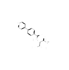 C[C@@H](O)[C@H](NC(=O)c1ccc(-c2ccncc2)cc1)C(=O)NO